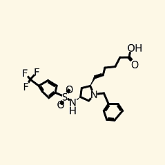 O=C(O)CCCC=C[C@@H]1C[C@@H](NS(=O)(=O)c2ccc(C(F)(F)F)cc2)CN1Cc1ccccc1